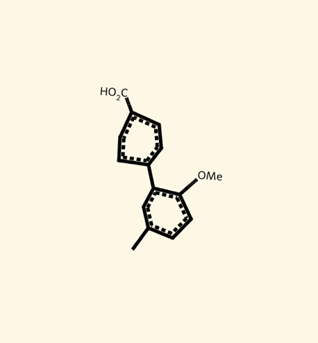 COc1ccc(C)cc1-c1ccc(C(=O)O)cc1